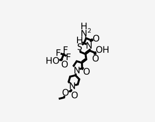 CCOC(=O)N1CCC(N2CC/C(=C\C3=C(C(=O)O)N4C(=O)[C@@H](N)[C@H]4SC3)C2=O)CC1.O=C(O)C(F)(F)F